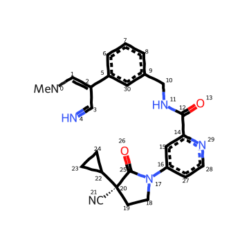 CN/C=C(\C=N)c1cccc(CNC(=O)c2cc(N3CC[C@@](C#N)(C4CC4)C3=O)ccn2)c1